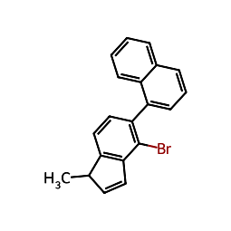 CC1C=Cc2c1ccc(-c1cccc3ccccc13)c2Br